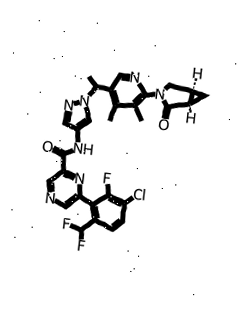 Cc1c(C(C)n2cc(NC(=O)c3cncc(-c4c(C(F)F)ccc(Cl)c4F)n3)cn2)cnc(N2C[C@H]3C[C@H]3C2=O)c1C